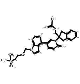 C[Si](C)(C)CCOCn1ccc2c(-c3ccc(=O)n(C4(CNC(=O)O)Cc5ccccc5C4)c3)ncnc21